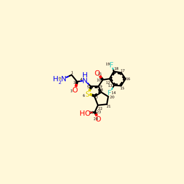 NCC(=O)Nc1sc2c(c1C(=O)c1c(F)cccc1F)CCC2C(=O)O